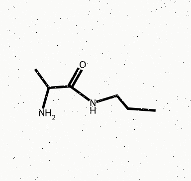 CCCNC(=O)C(C)N